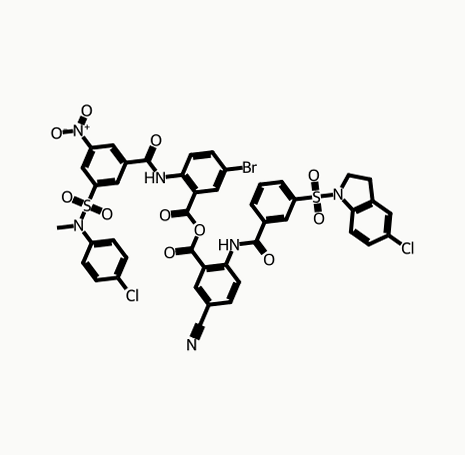 CN(c1ccc(Cl)cc1)S(=O)(=O)c1cc(C(=O)Nc2ccc(Br)cc2C(=O)OC(=O)c2cc(C#N)ccc2NC(=O)c2cccc(S(=O)(=O)N3CCc4cc(Cl)ccc43)c2)cc([N+](=O)[O-])c1